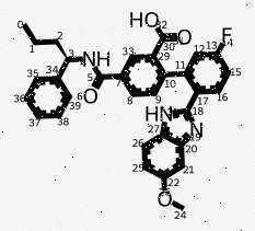 CCC[C@@H](NC(=O)c1ccc(-c2cc(F)ccc2-c2nc3cc(OC)ccc3[nH]2)c(C(=O)O)c1)c1ccccc1